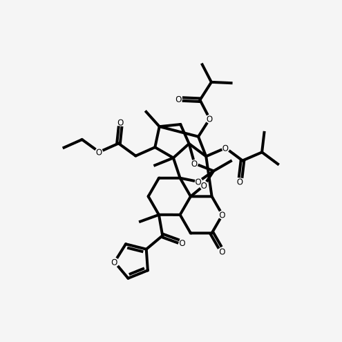 CCOC(=O)CC1C2(C)CC34OC5(C)OC67C(CC(=O)OC6C3(OC(=O)C(C)C)C2OC(=O)C(C)C)C(C)(C(=O)c2ccoc2)CCC7(O5)C14C